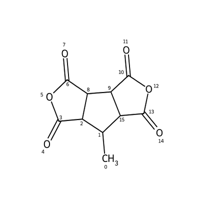 CC1C2C(=O)OC(=O)C2C2C(=O)OC(=O)C12